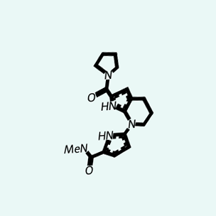 CNC(=O)c1ccc(N2CCCc3cc(C(=O)N4CCCC4)[nH]c32)[nH]1